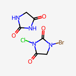 O=C1CN(Br)C(=O)N1Cl.O=C1CNC(=O)N1